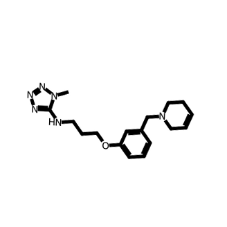 Cn1nnnc1NCCCOc1cccc(CN2CC=CCC2)c1